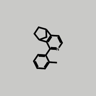 Cc1ccccc1-c1nccc2c1C1CCC2C1